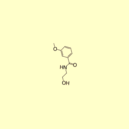 COc1cccc(C(=O)NCCO)c1